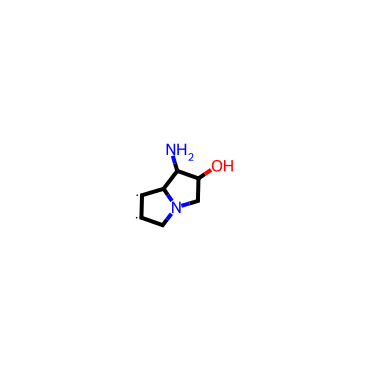 NC1C(O)CN2C[CH][CH]C12